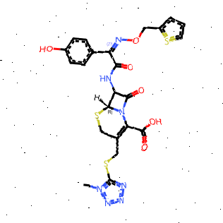 Cn1nnnc1SCC1=C(C(=O)O)N2C(=O)C(NC(=O)/C(=N\OCc3cccs3)c3ccc(O)cc3)[C@H]2SC1